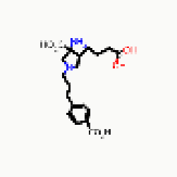 NC1(C(=O)O)CN(CCCc2ccc(C(=O)O)cc2)CC1CCCB(O)O